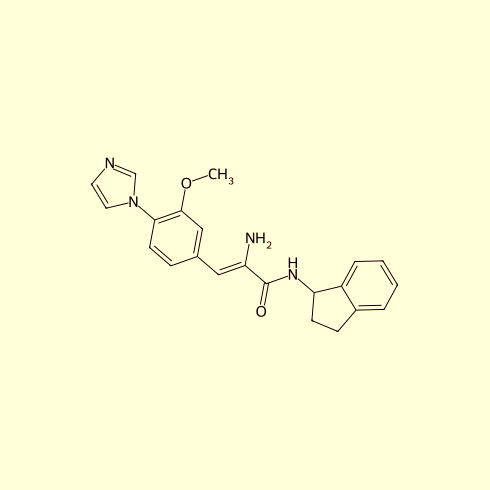 COc1cc(/C=C(\N)C(=O)NC2CCc3ccccc32)ccc1-n1ccnc1